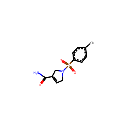 N#Cc1ccc(S(=O)(=O)N2CC=C(C(N)=O)C2)cc1